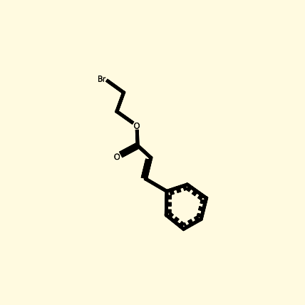 O=C(/C=C/c1ccccc1)OCCBr